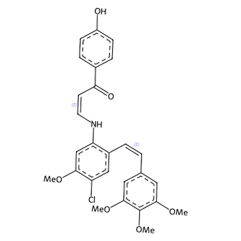 COc1cc(N/C=C\C(=O)c2ccc(O)cc2)c(/C=C\c2cc(OC)c(OC)c(OC)c2)cc1Cl